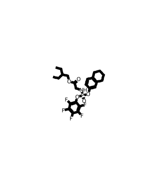 CCC(CC)COC(=O)CNP(=O)(Oc1ccc2c(c1)CCCC2)Oc1c(F)c(F)c(F)c(F)c1F